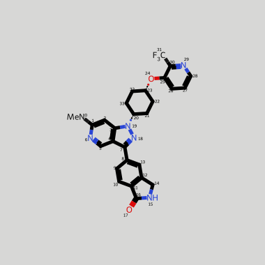 CNc1cc2c(cn1)c(-c1ccc3c(c1)CNC3=O)nn2[C@H]1CC[C@@H](Oc2cccnc2C(F)(F)F)CC1